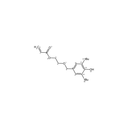 C=CC(=O)OCCOCc1cc(C(C)(C)C)c(O)c(C(C)(C)C)c1